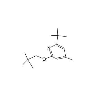 Cc1cc(OCC(C)(C)C)nc(C(C)(C)C)c1